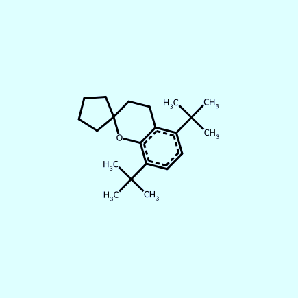 CC(C)(C)c1ccc(C(C)(C)C)c2c1CCC1(CCCC1)O2